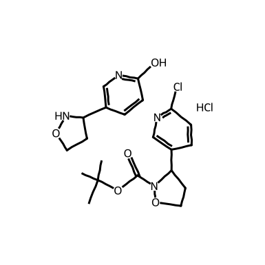 CC(C)(C)OC(=O)N1OCCC1c1ccc(Cl)nc1.Cl.Oc1ccc(C2CCON2)cn1